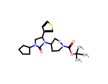 CC(C)(C)OC(=O)N1CCC(N2C(=O)N(C3CCCC3)CC2c2ccsc2)CC1